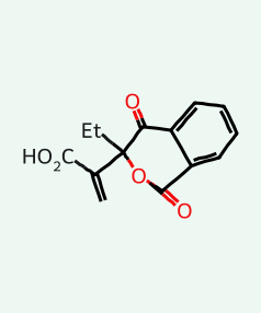 C=C(C(=O)O)C1(CC)OC(=O)c2ccccc2C1=O